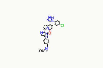 CON=Cc1ccc(-c2cnc([C@@H]3CCc4cc(-c5cc(Cl)ccc5-n5cnnn5)cc(=O)n43)[nH]2)cc1